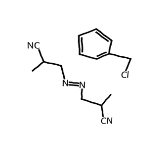 CC(C#N)CN=NCC(C)C#N.ClCc1ccccc1